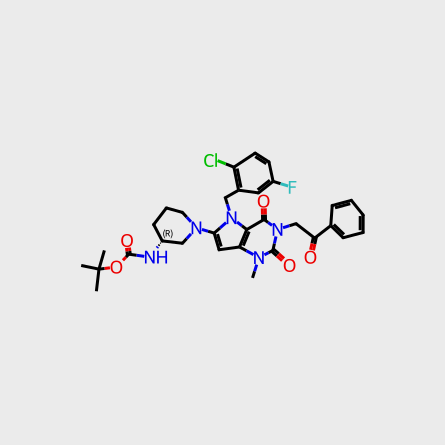 Cn1c(=O)n(CC(=O)c2ccccc2)c(=O)c2c1cc(N1CCC[C@@H](NC(=O)OC(C)(C)C)C1)n2Cc1cc(F)ccc1Cl